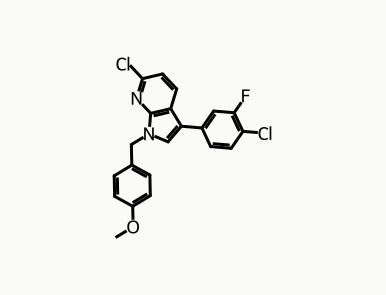 COc1ccc(Cn2cc(-c3ccc(Cl)c(F)c3)c3ccc(Cl)nc32)cc1